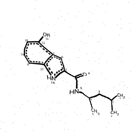 CC(C)CC(C)NC(=O)c1cc2c(O)cccc2[nH]1